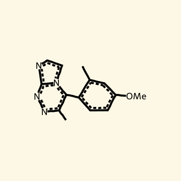 COc1ccc(-c2c(C)nnc3nccn23)c(C)c1